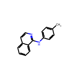 Cc1ccc(Nc2nccc3ccccc23)cc1